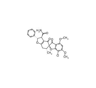 COc1cc(OC)c2c(c1Cl)O[C@@]1(C(=O)C3=C(C[C@H]1C)O[C@H](c1ccccc1)[C@H]3C(N)=O)C2=O